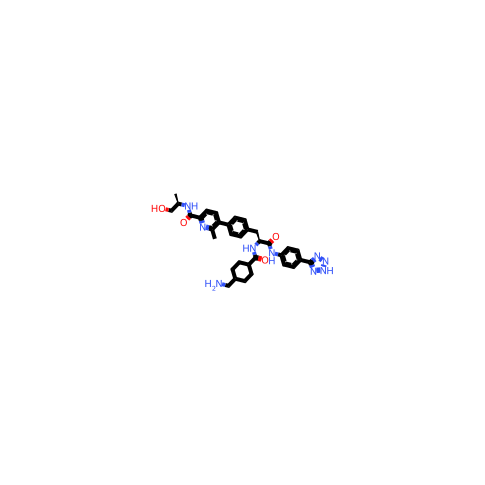 Cc1nc(C(=O)N[C@H](C)CO)ccc1-c1ccc(C[C@H](NC(=O)C2CCC(CN)CC2)C(=O)Nc2ccc(-c3nn[nH]n3)cc2)cc1